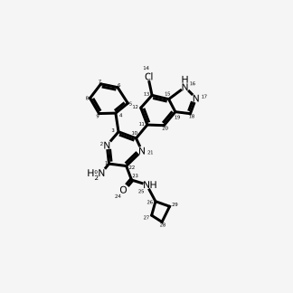 Nc1nc(-c2ccccc2)c(-c2cc(Cl)c3[nH]ncc3c2)nc1C(=O)NC1CCC1